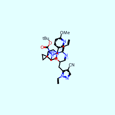 C=C/C=C(\N=C/C(Cc1c(C#N)cnn1C=C)OCC1(NC(=O)OC(C)(C)C)CC1)N1CC2CC(C1)N2Cc1ccc(OC)nc1